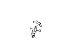 COc1ccc2ccc(=O)n(CCN3C[C@H](CNCc4cc5c(nn4)OCCO5)[C@H](O)C3)c2c1.Cl